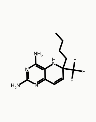 CCCCC1(C(F)(F)F)C=Cc2nc(N)nc(N)c2N1